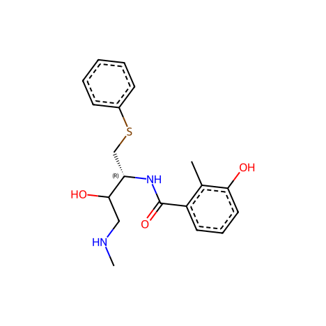 CNCC(O)[C@H](CSc1ccccc1)NC(=O)c1cccc(O)c1C